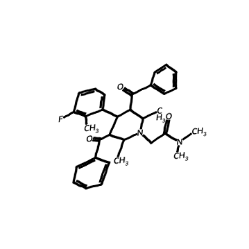 Cc1c(F)cccc1C1C(C(=O)c2ccccc2)C(C)N(CC(=O)N(C)C)C(C)C1C(=O)c1ccccc1